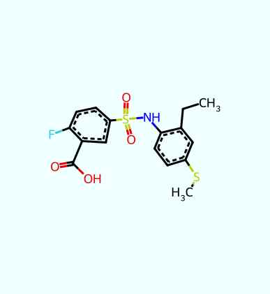 CCc1cc(SC)ccc1NS(=O)(=O)c1ccc(F)c(C(=O)O)c1